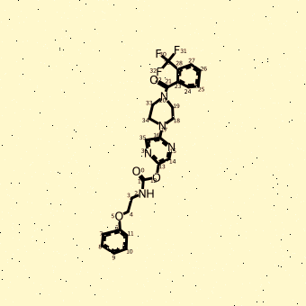 O=C(NCCOc1ccccc1)Oc1cnc(N2CCN(C(=O)c3ccccc3C(F)(F)F)CC2)cn1